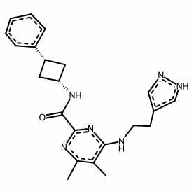 Cc1nc(C(=O)N[C@H]2C[C@@H](c3ccccc3)C2)nc(NCCc2cn[nH]c2)c1C